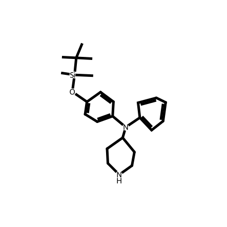 CC(C)(C)[Si](C)(C)Oc1ccc(N(c2ccccc2)C2CCNCC2)cc1